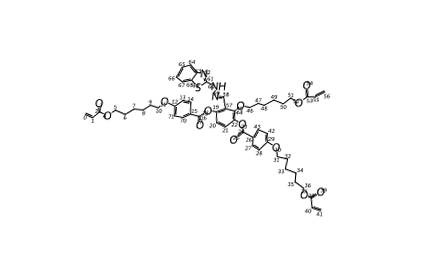 C=CC(=O)OCCCCCCOc1ccc(C(=O)Oc2ccc(OC(=O)c3ccc(OCCCCCCOC(=O)C=C)cc3)c(OCCCCCCOC(=O)C=C)c2/C=N/Nc2nc3ccccc3s2)cc1